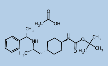 CC(=O)O.C[C@H](N[C@@H](C)C[C@H]1CC[C@H](NC(=O)OC(C)(C)C)CC1)c1ccccc1